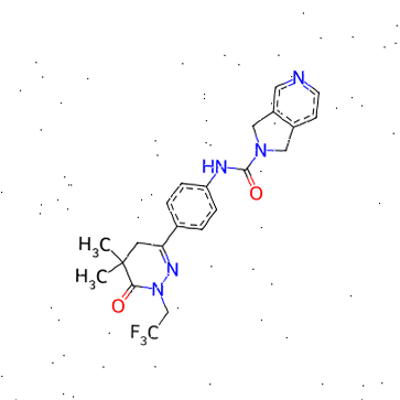 CC1(C)CC(c2ccc(NC(=O)N3Cc4ccncc4C3)cc2)=NN(CC(F)(F)F)C1=O